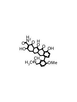 COc1ccc(CN(C)C)cc1-c1ccc(O)c2c1CC1CC3CC(O)=C(C(N)=O)C(=O)C3C(O)=C1C2=O